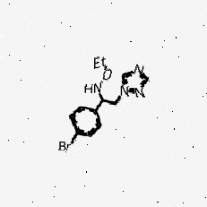 CCONC(Cn1cncn1)c1ccc(Br)cc1